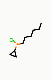 CCCCCCP(Cl)C1CC1